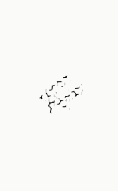 C=C(O)C[C@H](NC)C(O)NCC(O)N[C@@H](CC(=O)O)C(O)NC(CCCC)C(O)N[C@@H](CC(=O)O)C(O)NCC(O)N[C@@H](CC(O)O)C(N)=O